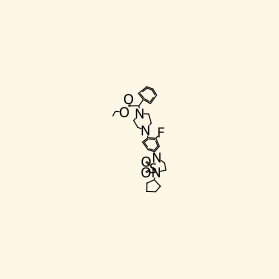 CCOC(=O)C(c1ccccc1)N1CCN(c2ccc(N3CCN(C4CCCC4)S3(=O)=O)cc2F)CC1